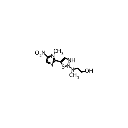 CN(CCO)N1NC=C(c2ncc([N+](=O)[O-])n2C)S1